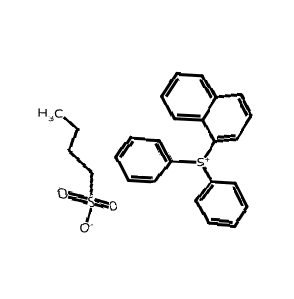 CCCCS(=O)(=O)[O-].c1ccc([S+](c2ccccc2)c2cccc3ccccc23)cc1